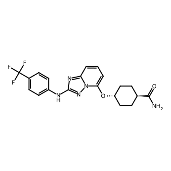 NC(=O)[C@H]1CC[C@H](Oc2cccc3nc(Nc4ccc(C(F)(F)F)cc4)nn23)CC1